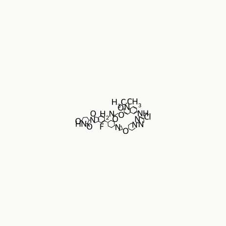 CC(C)n1c(=O)c(OCC(N)=O)cc2cc(Nc3nc(N4CCC(OC5CN([C@H]6CC[C@H](c7ccc8c(c7F)CN(C7CCC(=O)NC7=O)C8=O)CC6)C5)CC4)ncc3Cl)ccc21